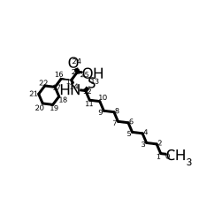 CCCCCCCCCCCCC(=S)N[C@@H](CC1CCCCC1)C(=O)O